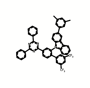 Cc1cc(C)cc(-c2ccc3c(c2)c2ccccc2n3-c2cc(-c3nc(-c4ccccc4)nc(-c4ccccc4)n3)ccc2-c2cc(C(F)(F)F)cc(C(F)(F)F)c2)c1